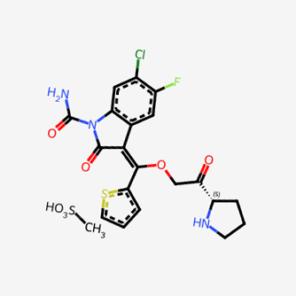 CS(=O)(=O)O.NC(=O)N1C(=O)C(=C(OCC(=O)[C@@H]2CCCN2)c2cccs2)c2cc(F)c(Cl)cc21